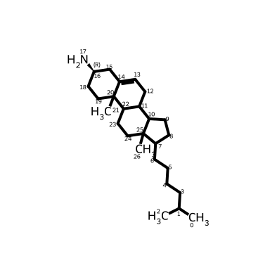 CC(C)CCCCC1CCC2C3CC=C4C[C@H](N)CCC4(C)C3CCC12C